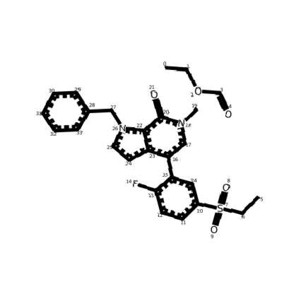 CCOC=O.CCS(=O)(=O)c1ccc(F)c(-c2cn(C)c(=O)c3c2ccn3Cc2ccccc2)c1